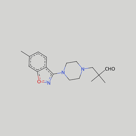 Cc1ccc2c(N3CCN(CC(C)(C)C=O)CC3)noc2c1